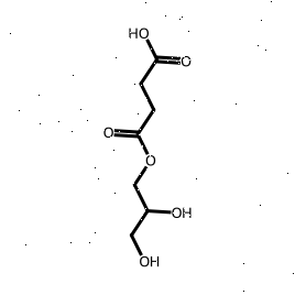 O=C(O)CCC(=O)OCC(O)CO